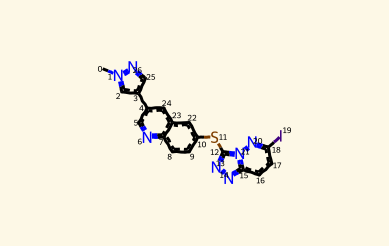 Cn1cc(-c2cnc3ccc(Sc4nnc5ccc(I)nn45)cc3c2)cn1